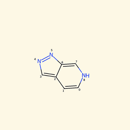 c1cc2cnnc-2c[nH]1